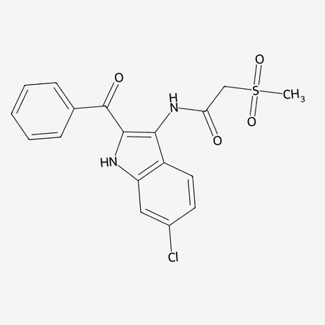 CS(=O)(=O)CC(=O)Nc1c(C(=O)c2ccccc2)[nH]c2cc(Cl)ccc12